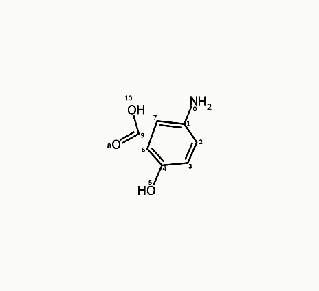 Nc1ccc(O)cc1.O=CO